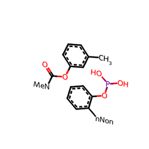 CCCCCCCCCc1ccccc1OP(O)O.CNC(=O)Oc1cccc(C)c1